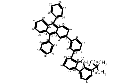 CC(C)(C)c1cccc2c1oc1c(-c3cccc(-c4ccc5c(-c6ccccc6)c6ccccc6c(-c6ccccc6)c5c4)c3)cccc12